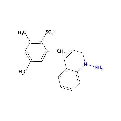 Cc1cc(C)c(S(=O)(=O)O)c(C)c1.NN1CC=Cc2ccccc21